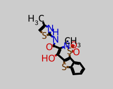 Cc1csc(NC(=O)C2=C(O)c3sc4ccccc4c3S(=O)(=O)N2C)n1